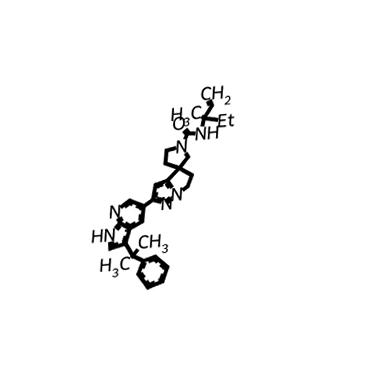 C=CC(C)(CC)NC(=O)N1CCC2(CCn3nc(-c4cnc5[nH]cc(C(C)(C)c6ccccc6)c5c4)cc32)C1